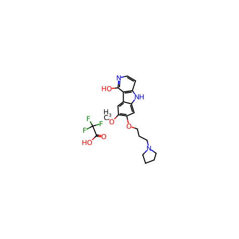 COc1cc2c(cc1OCCCN1CCCC1)[nH]c1ccnc(O)c12.O=C(O)C(F)(F)F